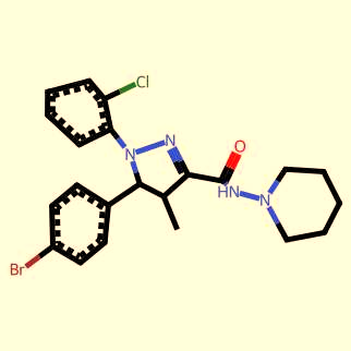 CC1C(C(=O)NN2CCCCC2)=NN(c2ccccc2Cl)C1c1ccc(Br)cc1